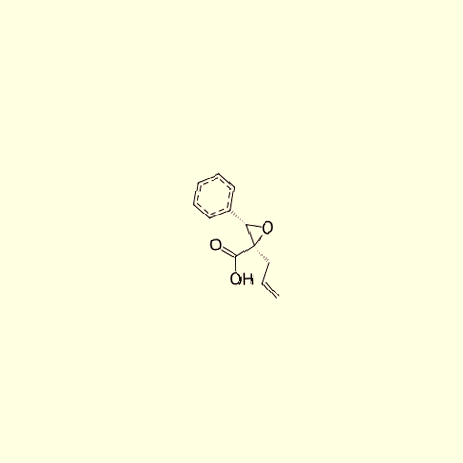 C=CC[C@@]1(C(=O)O)O[C@H]1c1ccccc1